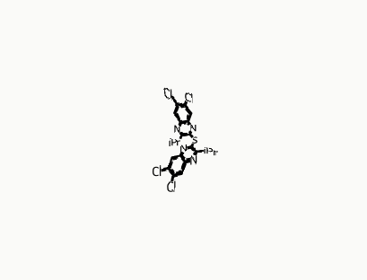 CC(C)c1nc2cc(Cl)c(Cl)cc2nc1Sc1nc2cc(Cl)c(Cl)cc2nc1C(C)C